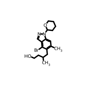 Cc1cc2c(cnn2C2CCCCO2)c(Br)c1CC(C)CCO